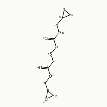 O=C(CSCC(=O)OCC1CO1)OCC1CC1